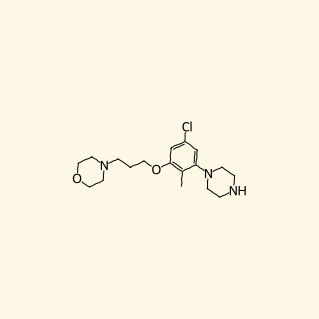 Cc1c(OCCCN2CCOCC2)cc(Cl)cc1N1CCNCC1